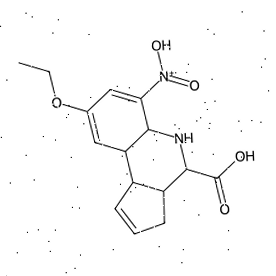 CCOC1=CC2C(NC(C(=O)O)C3CC=CC23)C([N+](=O)O)=C1